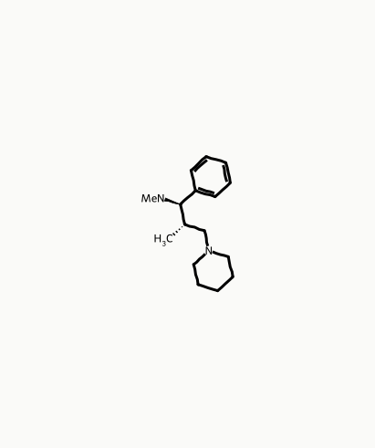 [CH2-][NH2+][C@@H](c1ccccc1)[C@@H](C)CN1CCCCC1